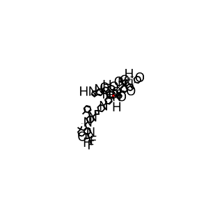 Cc1ccccc1[C@@H]1CN([C@@H](C)c2cnc(C(C)(C)C(F)(F)F)c3c2C(C)(C)CCO3)CCN1C1CC2(CCN(c3ccc(C(=O)NS(=O)(=O)c4cc5c(c([N+](=O)[O-])c4)N[C@H](C4CCOCC4)CO5)c(N4c5cc6cc[nH]c6nc5O[C@H]5COCC[C@@H]54)c3)CC2)C1